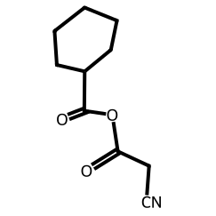 N#CCC(=O)OC(=O)C1CCCCC1